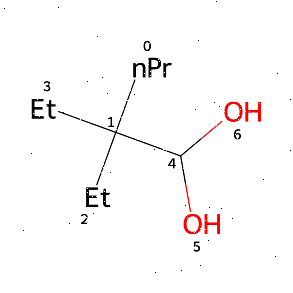 CCCC(CC)(CC)C(O)O